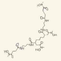 CN(O)C(=O)CCC(=O)NCCCNC(=O)C(CCCCC(CC(=O)N(C)O)C(=O)NCCCNC(=O)CCC(=O)N(C)O)CC(=O)N(C)O